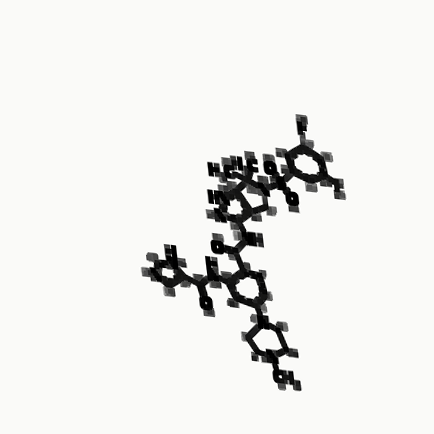 CN1CCN(c2ccc(C(=O)Nc3n[nH]c4c3CN(S(=O)(=O)c3cc(F)cc(F)c3)C4(C)C)c(NC(=O)c3cnc[nH]3)c2)CC1